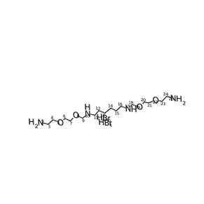 Br.Br.NCCOCCOCNCCCCCCNCOCCOCCN